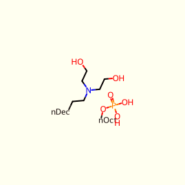 CCCCCCCCCCCCN(CCO)CCO.CCCCCCCCOP(=O)(O)O